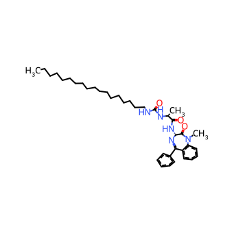 CCCCCCCCCCCCCCCCCCNC(=O)N[C@@H](C)C(=O)N[C@H]1N=C(c2ccccc2)c2ccccc2N(C)C1=O